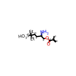 C=C(C)C(=O)OCC(N)CCC(CC)(CC)S(=O)(=O)O